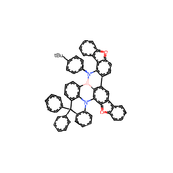 CC(C)(C)c1ccc(N2B3c4cccc5c4N(c4ccccc4C5(c4ccccc4)c4ccccc4)c4c3c(cc3c4oc4ccccc43)-c3ccc4oc5ccccc5c4c32)cc1